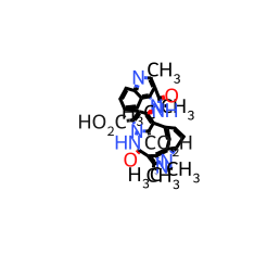 Cc1nc2ccc3cc2c(N(C)C)c1C(=O)NC1=C2c4ccc5nc(C)c(c(N(C)C)c5c4)C(=O)NN(C(C(=O)O)=C13)C2C(=O)O